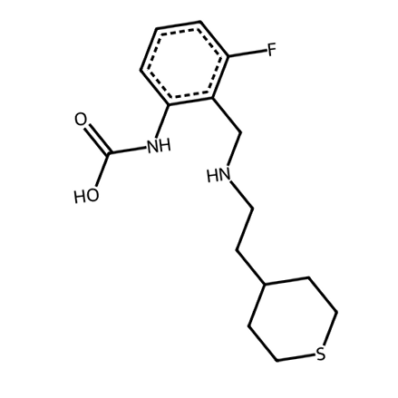 O=C(O)Nc1cccc(F)c1CNCCC1CCSCC1